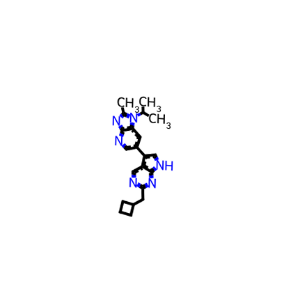 Cc1nc2ncc(-c3c[nH]c4nc(CC5CCC5)ncc34)cc2n1C(C)C